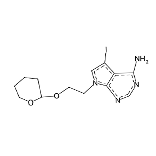 Nc1ncnc2c1c(I)cn2CCOC1CCCCO1